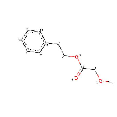 COCC(=O)OCCc1ccccc1